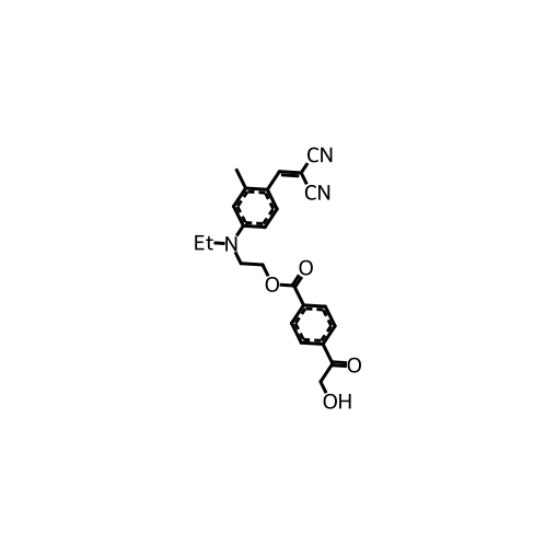 CCN(CCOC(=O)c1ccc(C(=O)CO)cc1)c1ccc(C=C(C#N)C#N)c(C)c1